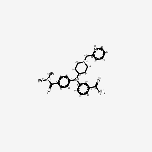 CC(C)N(C(=O)c1ccc(N(c2cccc(C(N)=O)c2)C2CCN(Cc3ccccn3)CC2)cc1)C(C)C